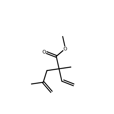 C=CC(C)(CC(=C)C)C(=O)OC